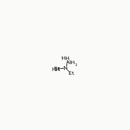 CC[N]([AlH2])CC.[HH].[HH]